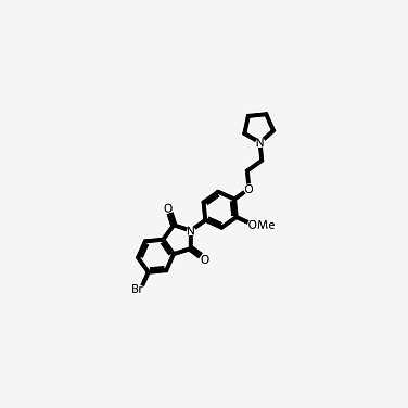 COc1cc(N2C(=O)c3ccc(Br)cc3C2=O)ccc1OCCN1CCCC1